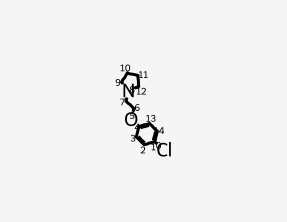 Clc1ccc(OCCN2CCCC2)cc1